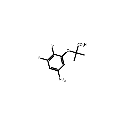 CC(C)(Oc1cc([N+](=O)[O-])cc(F)c1Br)C(=O)O